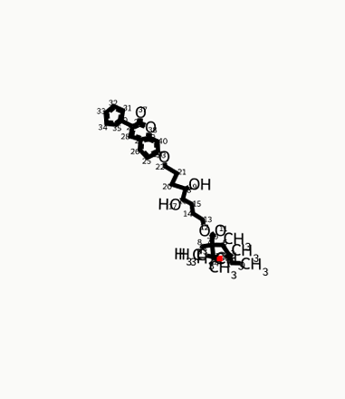 CCC(C)(C)C(C)C(CC)(C(=O)OCCCC(O)C(O)CCCOc1ccc2cc(-c3ccccc3)c(=O)oc2c1)C(C)(C)C